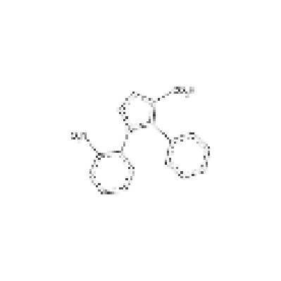 O=C(O)c1ccn(-c2ccccc2[N+](=O)[O-])c1-c1ccccc1